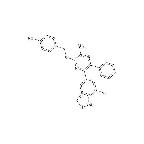 N#Cc1ccc(COc2nc(-c3cc(Cl)c4[nH]ncc4c3)c(-c3ccccc3)nc2N)cc1